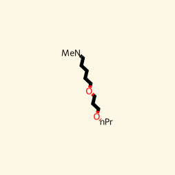 CCCOCCCOCCCCCNC